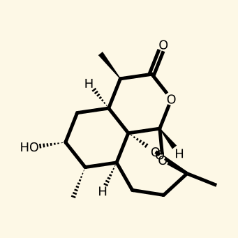 C[C@@H]1[C@H](O)C[C@H]2[C@@H](C)C(=O)O[C@@H]3OC4(C)CC[C@@H]1[C@]32OO4